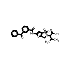 CC(C)C(C(=O)O)N1Cc2sc(NC(=O)c3cccc(C(=O)c4ccccc4)c3)cc2S1(=O)=O